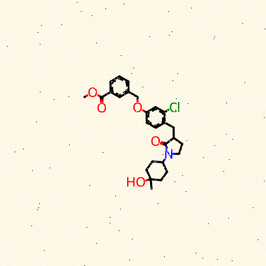 COC(=O)c1cccc(COc2ccc(CC3CCN(C4CCC(C)(O)CC4)C3=O)c(Cl)c2)c1